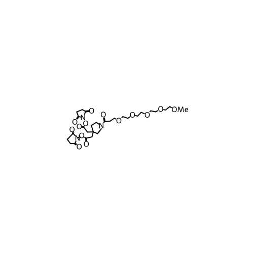 COCCOCCOCCOCCOCCC(=O)N1CCC(CC(=O)ON2C(=O)CCC2=O)(CC(=O)ON2C(=O)CCC2=O)CC1